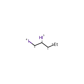 CCCCCI.I